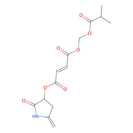 C=C1CC(OC(=O)/C=C/C(=O)OCOC(=O)C(C)C)C(=O)N1